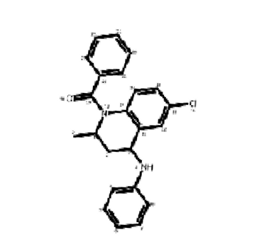 CC1CC(Nc2ccccc2)c2cc(Cl)ccc2N1C(=O)c1ccccc1